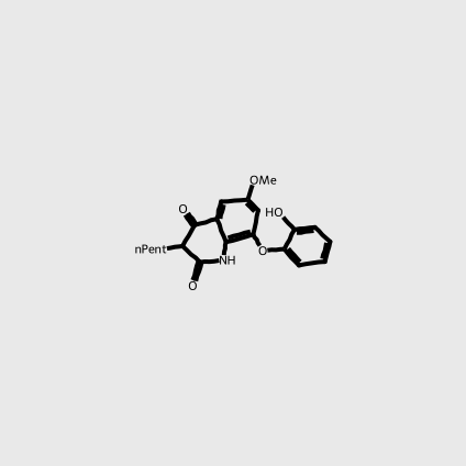 CCCCCC1C(=O)Nc2c(Oc3ccccc3O)cc(OC)cc2C1=O